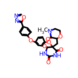 CN1CCOC(CC2(Oc3ccc(Oc4ccc(-c5nnco5)cc4)cc3)C(=O)NC(=O)NC2=O)C1=O